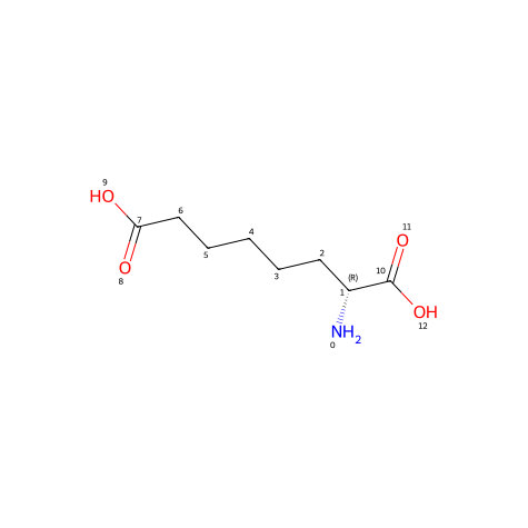 N[C@H](CCCCCC(=O)O)C(=O)O